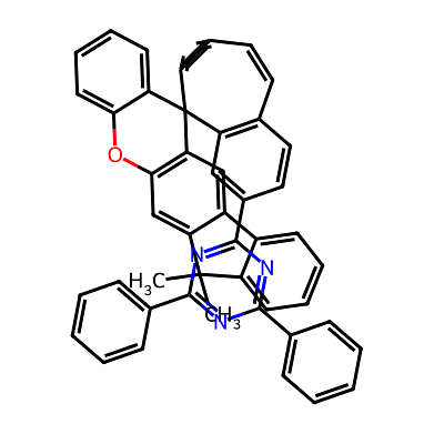 CC1(C)c2ccccc2-c2cc3c(cc21)Oc1ccccc1C31c2ccccc2C=Cc2ccc(-c3nc(-c4ccccc4)nc(-c4ccccc4)n3)cc21